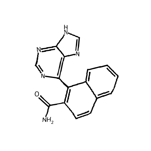 NC(=O)c1ccc2ccccc2c1-c1ncnc2[nH]cnc12